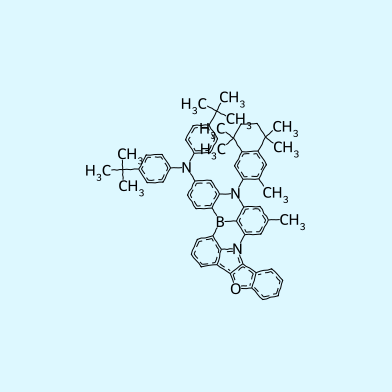 Cc1cc2c3c(c1)-n1c4c(cccc4c4oc5ccccc5c41)B3c1ccc(N(c3ccc(C(C)(C)C)cc3)c3ccc(C(C)(C)C)cc3)cc1N2c1cc2c(cc1C)C(C)(C)CCC2(C)C